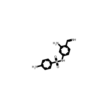 N=Cc1ccc(NS(=O)(=O)c2ccc(N)cc2)cc1N